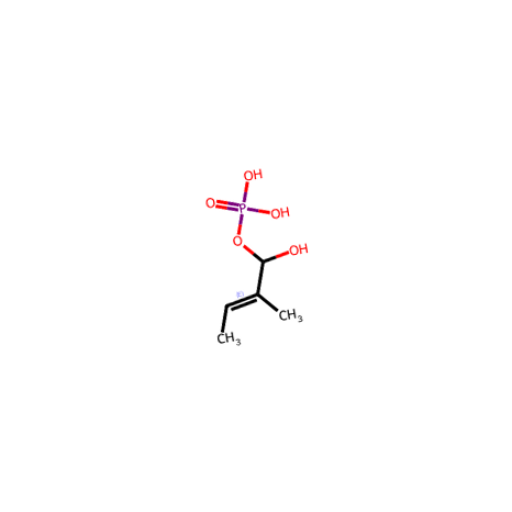 C/C=C(\C)C(O)OP(=O)(O)O